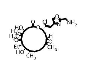 CC[C@H]1C(=O)C(C)(C)[C@@H](O)CC(=O)O[C@H](C(Cl)=Cc2coc(CN)n2)C[C@@H]2O[C@]2(C)CCC[C@H](C)[C@@H]1O